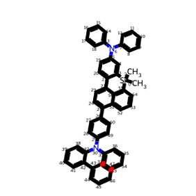 C[Si]1(C)c2cc(N(c3ccccc3)c3ccccc3)ccc2-c2ccc(-c3ccc(N(c4ccccc4)c4ccccc4-c4ccccc4)cc3)c3cccc1c23